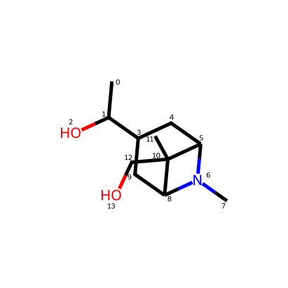 CC(O)C1CC2N(C)C(C1)C2(C)CO